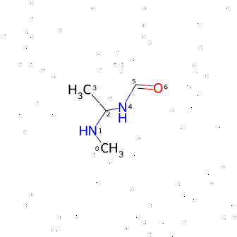 CNC(C)NC=O